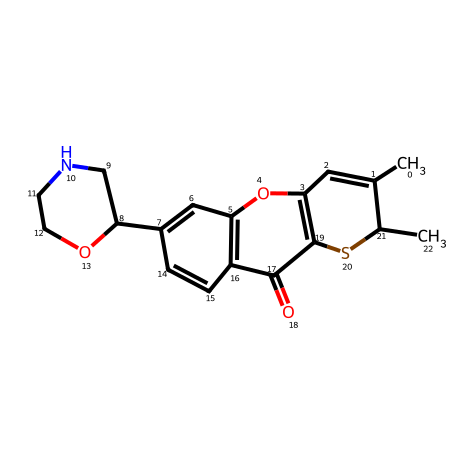 CC1=Cc2oc3cc(C4CNCCO4)ccc3c(=O)c2SC1C